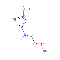 CN(CCOC(C)(C)C)c1nc(C(=O)O)cs1